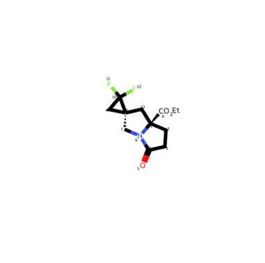 CCOC(=O)[C@@]12CCC(=O)N1C[C@@]1(CC1(F)F)C2